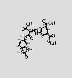 COC(=O)c1cc(N/N=C(/C(C)=O)C(=O)Nc2ccc3[nH]c(=O)[nH]c3c2)cc(C(=O)O)c1